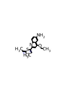 C/C=C(\S/C(Cl)=C\C)c1cc(OCC)c2cc(N)ccc2n1